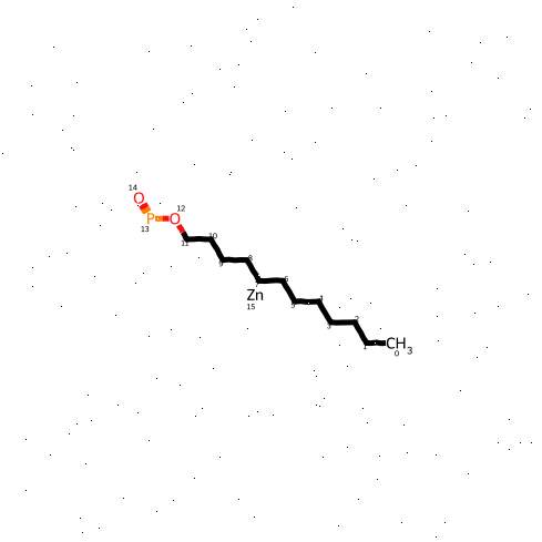 CCCCCCCCCCCCOP=O.[Zn]